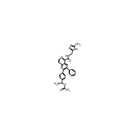 Cc1nnc(CNC(=O)c2nccc3nc(-c4ccc(C(N)OC(=O)C(F)(F)F)cc4)c(-c4ccccc4)cc23)[nH]1